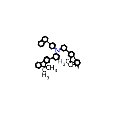 CC1(C)c2ccccc2-c2ccc(-c3cccc(N(c4ccc(-c5cccc6ccccc56)cc4)c4cccc(-c5ccc6c(c5)C(C)(C)c5ccccc5-6)c4)c3)cc21